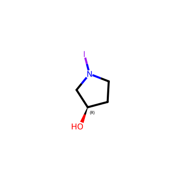 O[C@@H]1CCN(I)C1